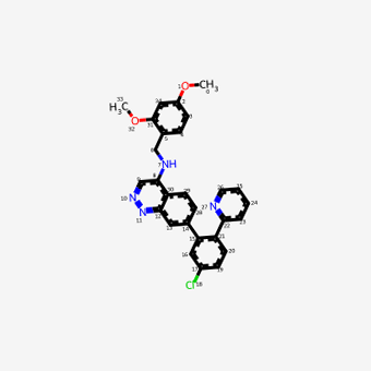 COc1ccc(CNc2cnnc3cc(-c4cc(Cl)ccc4-c4ccccn4)ccc23)c(OC)c1